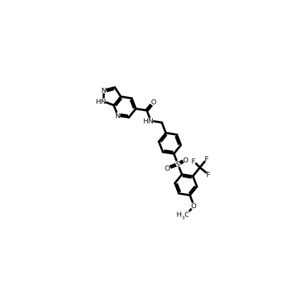 COc1ccc(S(=O)(=O)c2ccc(CNC(=O)c3cnc4[nH]ncc4c3)cc2)c(C(F)(F)F)c1